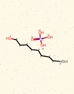 CCCCCCCCCCCCCCCCO.O=P(O)(O)O